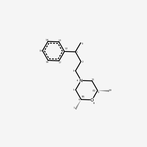 CC(CCN1C[C@@H](C)O[C@@H](C)C1)c1ccccc1